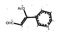 CC(=O)OC(=C[C]=O)c1cccnc1